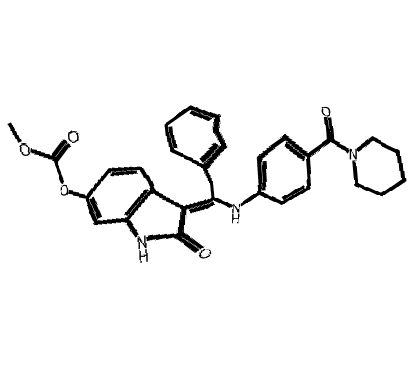 COC(=O)Oc1ccc2c(c1)NC(=O)/C2=C(\Nc1ccc(C(=O)N2CCCCC2)cc1)c1ccccc1